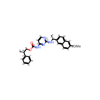 COc1ccc2cc([C@H](C)Nc3nccc(NC(=O)OC[C@H](C)c4ccccc4)n3)ccc2c1